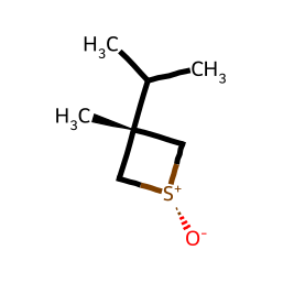 CC(C)[C@]1(C)C[S@+]([O-])C1